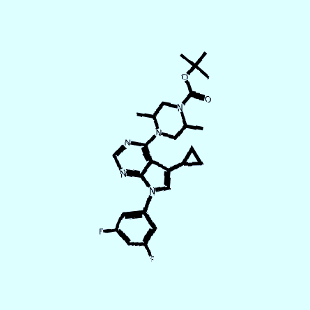 CC1CN(c2ncnc3c2c(C2CC2)cn3-c2cc(F)cc(F)c2)C(C)CN1C(=O)OC(C)(C)C